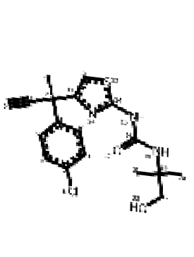 C#C[C@@](C)(c1ccc(Cl)cc1)c1csc(NC(=O)NC(C)(C)CO)n1